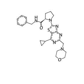 O=C(NCc1ccccc1)[C@H]1CCCN1c1nc2nc(CN3CCOCC3)nc(C3CC3)c2s1